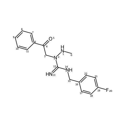 CNN(CC(=O)c1ccccc1)C(=N)NCc1ccc(F)cc1